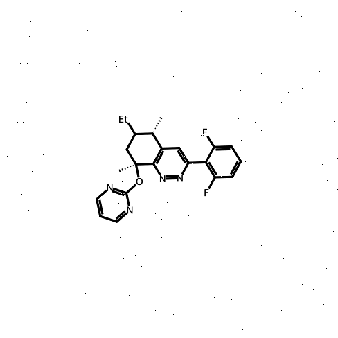 CCC1C[C@](C)(Oc2ncccn2)c2nnc(-c3c(F)cccc3F)cc2[C@H]1C